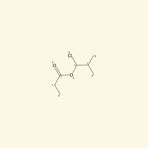 CCC(=O)OC(Cl)C(C)C